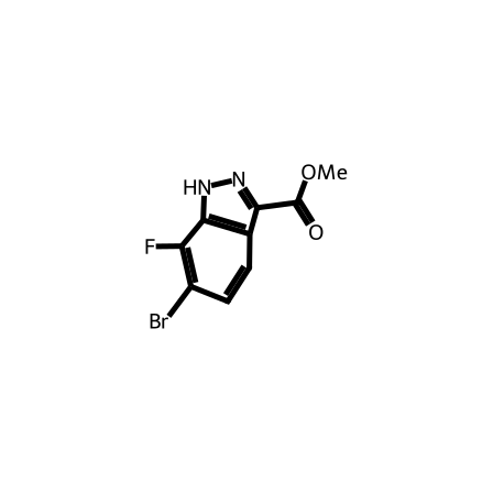 COC(=O)c1n[nH]c2c(F)c(Br)ccc12